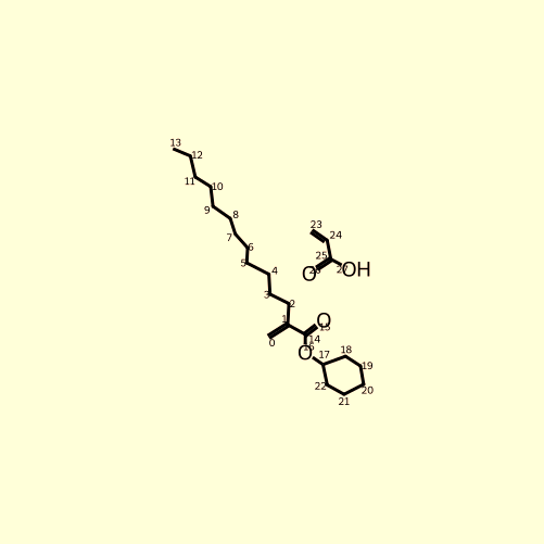 C=C(CCCCCCCCCCCC)C(=O)OC1CCCCC1.C=CC(=O)O